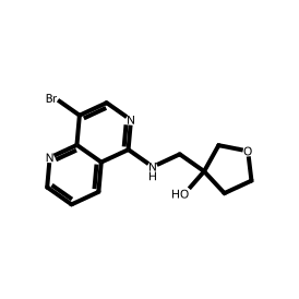 OC1(CNc2ncc(Br)c3ncccc23)CCOC1